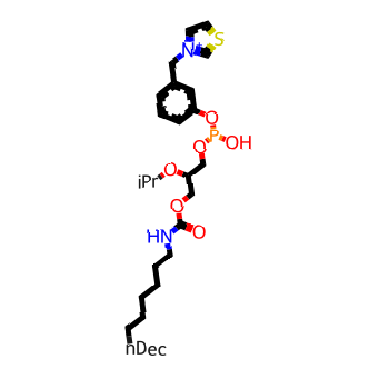 CCCCCCCCCCCCCCCCNC(=O)OCC(COP(O)Oc1cccc(C[n+]2ccsc2)c1)OC(C)C